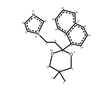 CC1(C)COC(CCn2ccnc2)(c2cccc3ccccc23)OC1